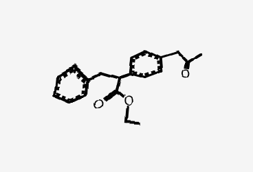 CCOC(=O)C(Cc1ccccc1)c1ccc(CC(C)=O)cc1